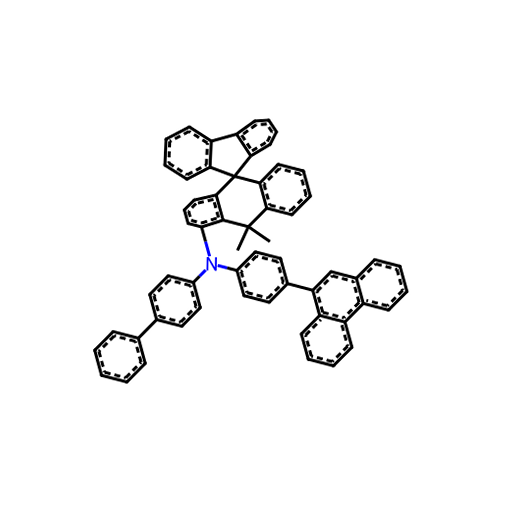 CC1(C)c2ccccc2C2(c3ccccc3-c3ccccc32)c2cccc(N(c3ccc(-c4ccccc4)cc3)c3ccc(-c4cc5ccccc5c5ccccc45)cc3)c21